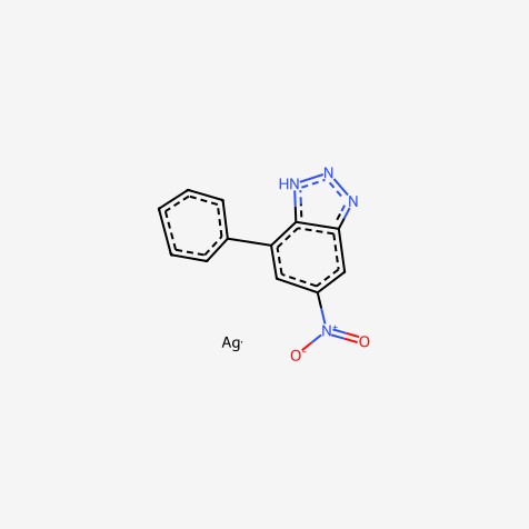 O=[N+]([O-])c1cc(-c2ccccc2)c2[nH]nnc2c1.[Ag]